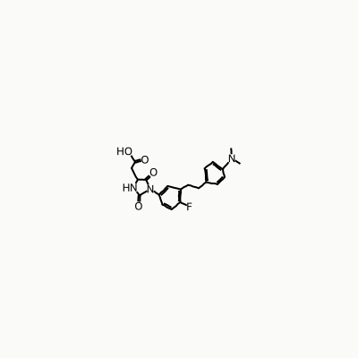 CN(C)c1ccc(CCc2cc(N3C(=O)NC(CC(=O)O)C3=O)ccc2F)cc1